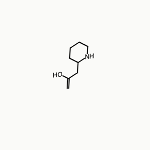 C=C(O)CC1CCCCN1